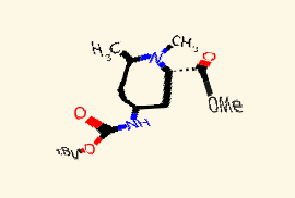 COC(=O)[C@@H]1CC(NC(=O)OC(C)(C)C)CC(C)N1C